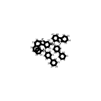 c1ccc(-c2ccc(N(c3cc(N(c4ccccc4)c4ccc(-c5ccccc5)cc4)c4c(c3)sc3ccc5ccccc5c34)c3cccc4c3sc3ccccc34)cc2)cc1